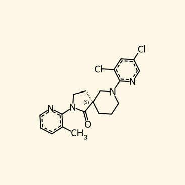 Cc1cccnc1N1CC[C@]2(CCCN(c3ncc(Cl)cc3Cl)C2)C1=O